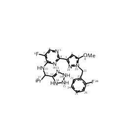 COc1cc(-c2ncc(F)c(NC(C3=NNNN3)C(C)C)n2)nn1Cc1ccccc1F